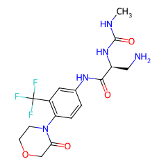 CNC(=O)N[C@@H](CN)C(=O)Nc1ccc(N2CCOCC2=O)c(C(F)(F)F)c1